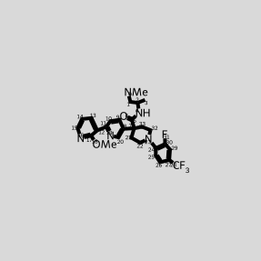 CNCC(C)NC(=O)C1(c2ccc(-c3cccnc3OC)nc2)CCN(c2ccc(C(F)(F)F)cc2F)CC1